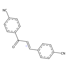 N#Cc1ccc(/C=C/C(=O)c2ccc(C#N)cc2)cc1